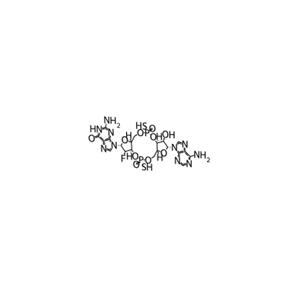 Nc1nc2c(ncn2[C@@H]2O[C@@H]3CO[P@](=O)(S)O[C@H]4[C@@H](O)[C@H](n5cnc6c(N)ncnc65)O[C@@H]4CO[P@](=O)(S)O[C@H]3[C@H]2F)c(=O)[nH]1